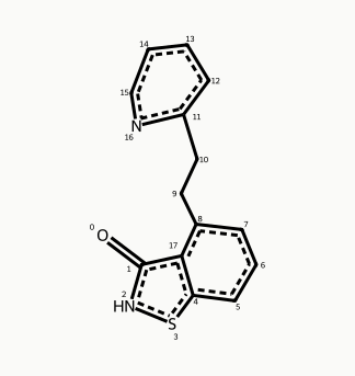 O=c1[nH]sc2cccc(CCc3ccccn3)c12